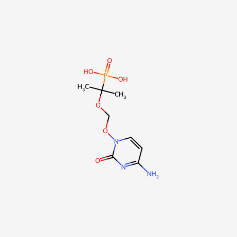 CC(C)(OCOn1ccc(N)nc1=O)P(=O)(O)O